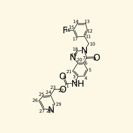 O=C(Nc1ccc2c(=O)n(Cc3cccc(F)c3)cnc2c1)OCc1cccnc1